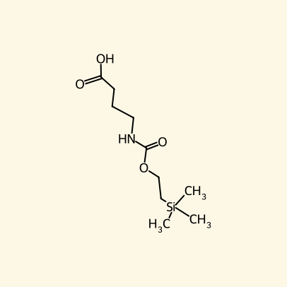 C[Si](C)(C)CCOC(=O)NCCCC(=O)O